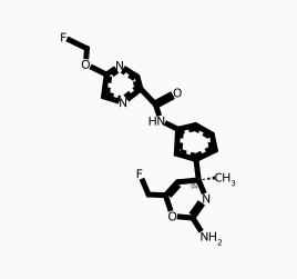 C[C@@]1(c2cccc(NC(=O)c3cnc(OCF)cn3)c2)C=C(CF)OC(N)=N1